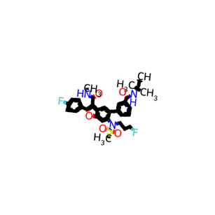 C#CC(C)(C)NC(=O)c1cccc(-c2cc3c(C(=O)NC)c(-c4ccc(F)cc4)oc3cc2N(CCCF)S(C)(=O)=O)c1